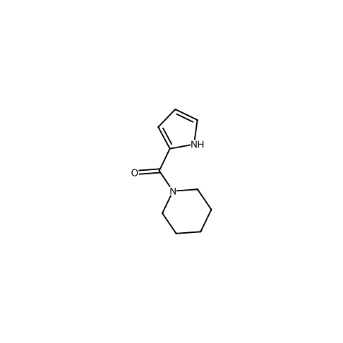 O=C(c1ccc[nH]1)N1CCCCC1